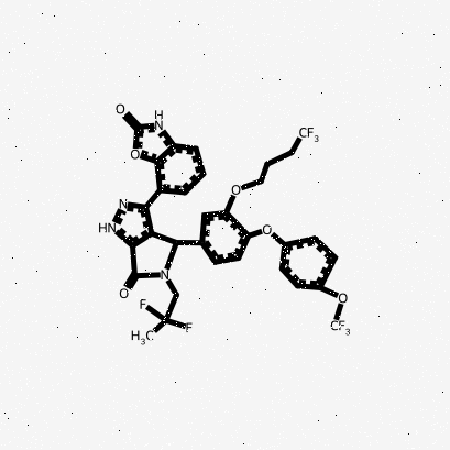 CC(F)(F)CN1C(=O)c2[nH]nc(-c3cccc4[nH]c(=O)oc34)c2C1c1ccc(Oc2ccc(OC(F)(F)F)cc2)c(OCCCC(F)(F)F)c1